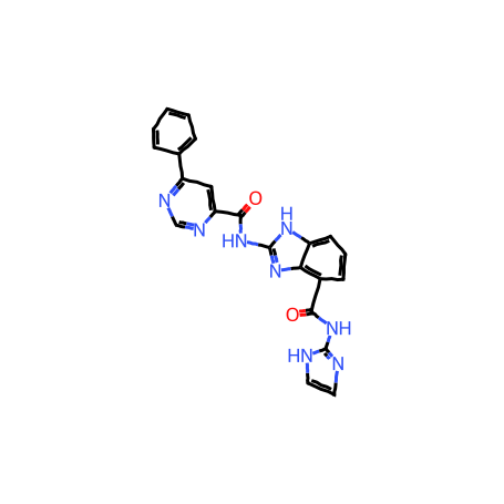 O=C(Nc1nc2c(C(=O)Nc3ncc[nH]3)cccc2[nH]1)c1cc(-c2ccccc2)ncn1